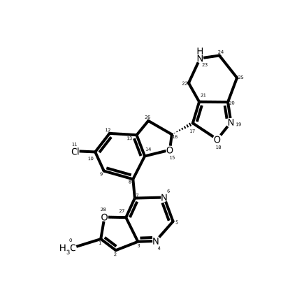 Cc1cc2ncnc(-c3cc(Cl)cc4c3O[C@@H](c3onc5c3CNCC5)C4)c2o1